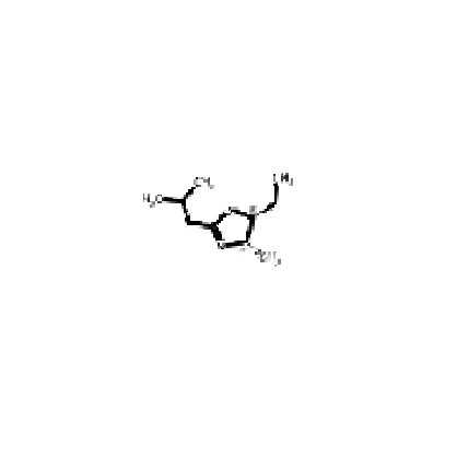 CC[C@@H]1SC(CC(C)C)=N[C@H]1C